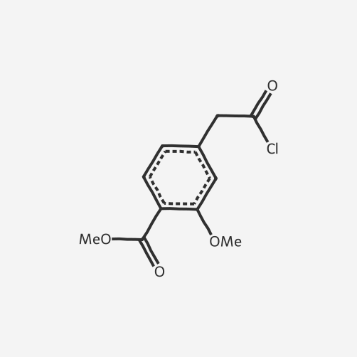 COC(=O)c1ccc(CC(=O)Cl)cc1OC